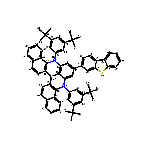 CC(C)(C)c1cc(N2c3cc(-c4ccc5c(c4)sc4ccccc45)cc4c3B(c3ccc5ccccc5c32)c2ccc3ccccc3c2N4c2cc(C(C)(C)C)cc(C(C)(C)C)c2)cc(C(C)(C)C)c1